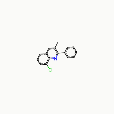 Cc1cc2cccc(Cl)c2nc1-c1ccccc1